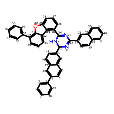 c1ccc(-c2ccc3cc(C4N=C(c5ccc6ccccc6c5)N=C(c5cccc6oc7c(-c8ccccc8)cccc7c56)N4)ccc3c2)cc1